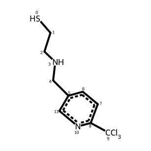 SCCNCc1ccc(C(Cl)(Cl)Cl)nc1